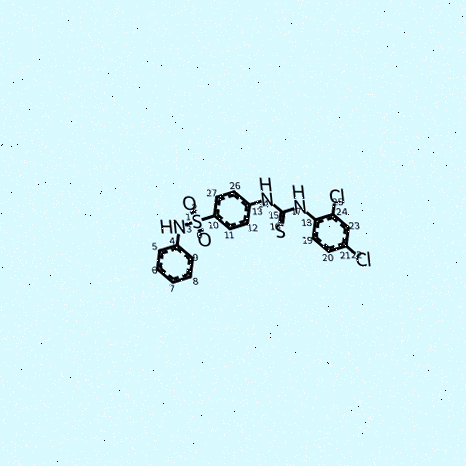 O=S(=O)(Nc1ccccc1)c1ccc(NC(=S)Nc2ccc(Cl)cc2Cl)cc1